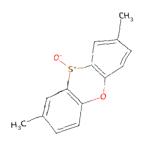 Cc1ccc2c(c1)[S+]([O-])c1cc(C)ccc1O2